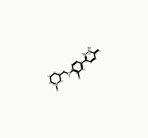 C=C1C=CC(c2ccc(OCC3CCCN(C)C3)c(C)c2)=NN1